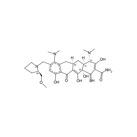 B=C1C(C(N)=O)=C(O)[C@@H](N(C)C)[C@@H]2C[C@@H]3Cc4c(c(O)cc(CN5CCC[C@@H]5COC)c4N(C)C)C(=O)C3=C(O)[C@]12O